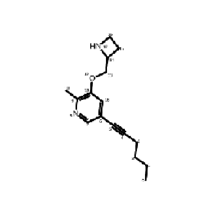 CCCCC#Cc1cnc(C)c(OCC2CCN2)c1